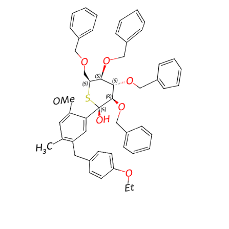 CCOc1ccc(Cc2cc([C@]3(O)S[C@@H](COCc4ccccc4)[C@@H](OCc4ccccc4)[C@H](OCc4ccccc4)[C@H]3OCc3ccccc3)c(OC)cc2C)cc1